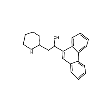 OC(CC1CCCCN1)c1cc2ccccc2c2ccccc12